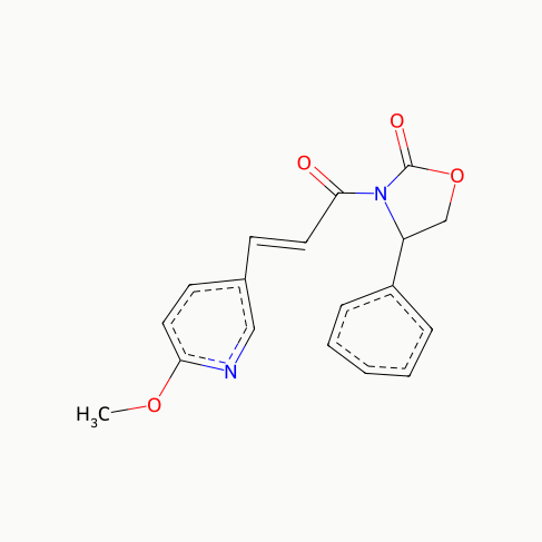 COc1ccc(C=CC(=O)N2C(=O)OCC2c2ccccc2)cn1